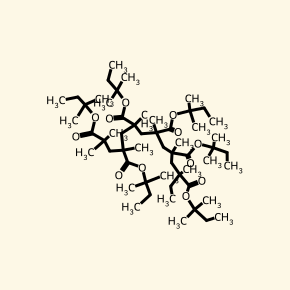 CCC(C)(C)OC(=O)C(C)(C)CC(C)(CC(C)(CC(C)(CC(C)(CC(C)(CC)C(=O)OC(C)(C)CC)C(=O)OC(C)(C)CC)C(=O)OC(C)(C)CC)C(=O)OC(C)(C)CC)C(=O)OC(C)(C)CC